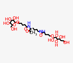 CC(=O)[C@@H](CCCCNC(=O)CCCCOC(O)C(O)C(O)C(O)CCO)NC(=O)CCCCOC1OC(CO)C(O)C(O)C1O